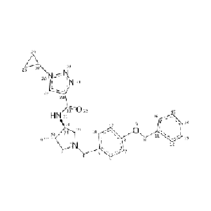 C[C@H]1CN(Cc2ccc(OCc3ccccc3)cc2)C[C@@H]1NC(=O)c1cn(C2CC2)nn1